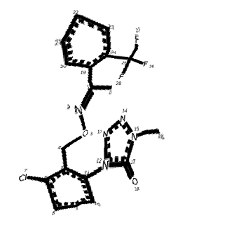 CC(=NOCc1c(Cl)cccc1-n1nnn(C)c1=O)c1ccccc1C(F)(F)F